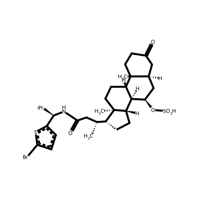 CC(C)[C@@H](NC(=O)C[C@@H](C)[C@H]1CC[C@H]2[C@@H]3[C@H](OS(=O)(=O)O)C[C@@H]4CC(=O)CC[C@]4(C)[C@H]3CC[C@]12C)c1ccc(Br)s1